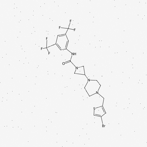 O=C(Nc1cc(C(F)(F)F)cc(C(F)(F)F)c1)N1CC(N2CCN(Cc3cc(Br)cs3)CC2)C1